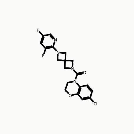 O=C(N1CC2(C1)CN(c1ncc(F)cc1F)C2)N1CCOc2cc(Cl)ccc21